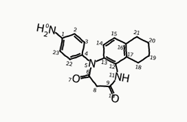 Nc1ccc(N2C(=O)CC(=O)Nc3c2ccc2c3CCCC2)cc1